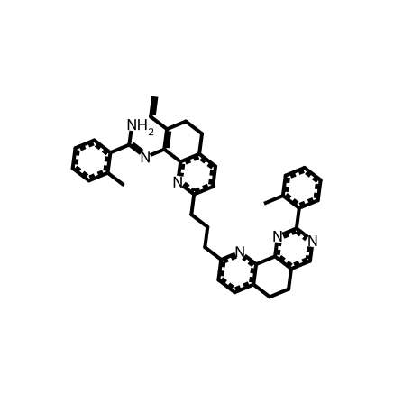 C=CC1=C(/N=C(\N)c2ccccc2C)c2nc(CCCc3ccc4c(n3)-c3nc(-c5ccccc5C)ncc3CC4)ccc2CC1